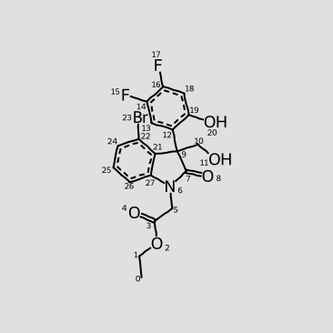 CCOC(=O)CN1C(=O)C(CO)(c2cc(F)c(F)cc2O)c2c(Br)cccc21